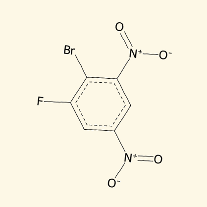 O=[N+]([O-])c1cc(F)c(Br)c([N+](=O)[O-])c1